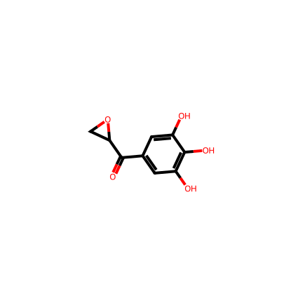 O=C(c1cc(O)c(O)c(O)c1)C1CO1